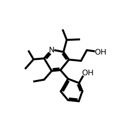 CCc1c(C(C)C)nc(C(C)C)c(CCO)c1-c1ccccc1O